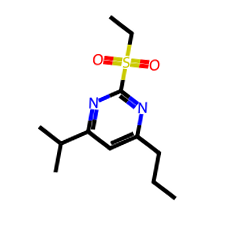 CCCc1cc(C(C)C)nc(S(=O)(=O)CC)n1